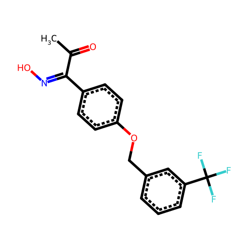 CC(=O)C(=NO)c1ccc(OCc2cccc(C(F)(F)F)c2)cc1